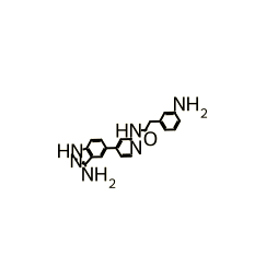 Nc1cccc(CC(=O)Nc2cc(-c3ccc4[nH]nc(N)c4c3)ccn2)c1